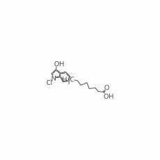 CCCCCCCC(=O)O.Oc1cn(Cl)c2ccccc12